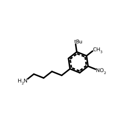 Cc1c([N+](=O)[O-])cc(CCCCN)cc1C(C)(C)C